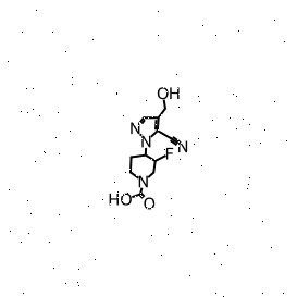 N#Cc1c(CO)cnn1C1CCN(C(=O)O)CC1F